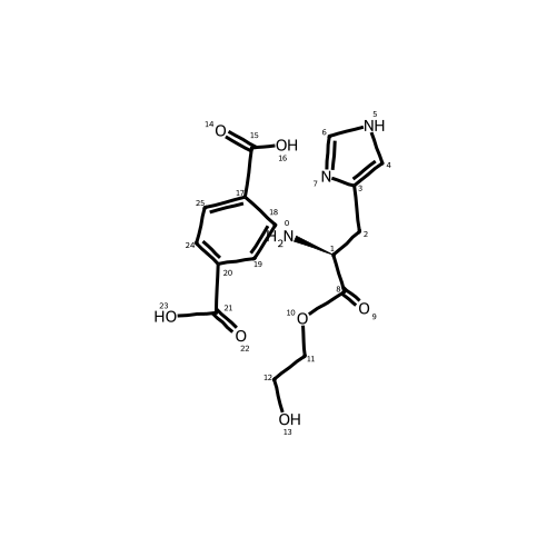 N[C@@H](Cc1c[nH]cn1)C(=O)OCCO.O=C(O)c1ccc(C(=O)O)cc1